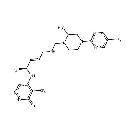 CC1CN(c2ncc(C(F)(F)F)cn2)CCN1CNC/C=C/[C@H](C)Nc1cn[nH]c(=O)c1C(F)(F)F